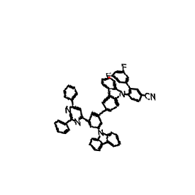 N#Cc1ccc(-n2c3ccccc3c3cc(-c4cc(-c5cc(-c6ccccc6)nc(-c6ccccc6)n5)cc(-n5c6ccccc6c6ccccc65)c4)ccc32)c(-c2cc(F)cc(F)c2)c1